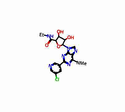 CCNC(=O)C1OC(n2cnc3c(NC)nc(-c4cncc(Cl)c4)nc32)C(O)C1O